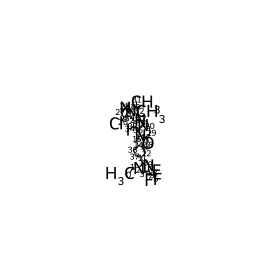 CCn1cc(C(F)(F)F)nc1-c1ccc(CN2C(=O)CCn3nc(-c4c(Cl)cnn4C(C)C)c(I)c32)cc1